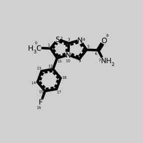 Cc1sc2nc(C(N)=O)cn2c1-c1ccc(F)cc1